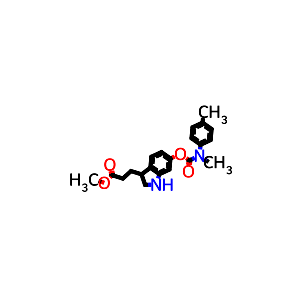 COC(=O)CCC1CNc2cc(OC(=O)N(C)c3ccc(C)cc3)ccc21